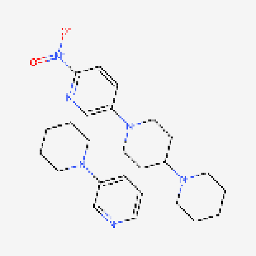 O=[N+]([O-])c1ccc(N2CCC(N3CCCCC3)CC2)cn1.c1cncc(N2CCCCC2)c1